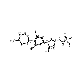 CC(C)(C)N1CCN(c2c(F)cc(N3C[C@H](COS(C)(=O)=O)OC3=O)cc2F)CCO1